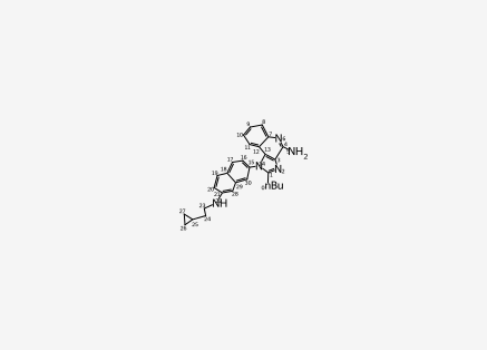 CCCCc1nc2c(N)nc3ccccc3c2n1-c1ccc2ccc(NCCC3CC3)cc2c1